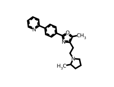 Cc1oc(-c2ccc(-c3ccccn3)cc2)nc1CCN1CCCC1C